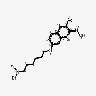 CCN(CC)CCCCCCOc1ccc2cc(C(C)=O)c(=NO)oc2c1